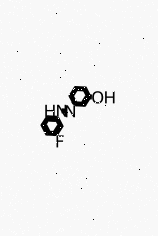 OC1=CC(=NNc2cccc(F)c2)CCC1